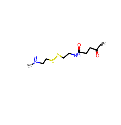 CCNCCSSCCNC(=O)CCC(=O)C(C)C